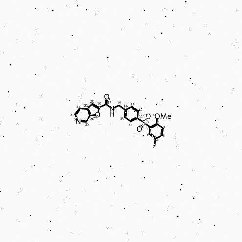 COc1ccc(C)cc1S(=O)(=O)c1ccc(CNC(=O)c2cc3ccncc3o2)cc1